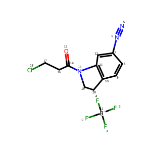 F[B-](F)(F)F.N#[N+]c1ccc2c(c1)N(C(=O)CCCl)CC2